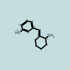 CC1CCCC/C1=C\c1cccc(O)c1